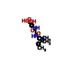 Cc1cccc(CC2(N(C)C)CCC(NC(=O)CCC(=O)Nc3ccc(CP(=O)(O)O)cc3)CC2)c1